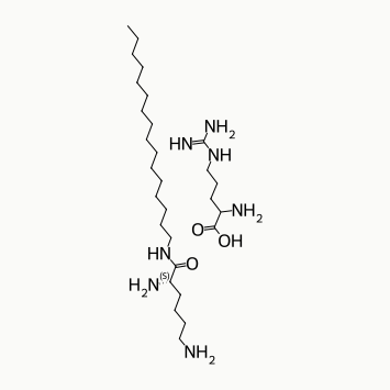 CCCCCCCCCCCCCCCCNC(=O)[C@@H](N)CCCCN.N=C(N)NCCCC(N)C(=O)O